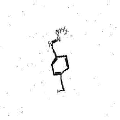 NN=Nc1ccc(CI)cc1